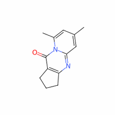 Cc1cc(C)n2c(=O)c3c(nc2c1)CCC3